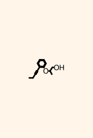 CCC#Cc1ccccc1OC(C)CO